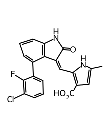 Cc1cc(C(=O)O)c(C=C2C(=O)Nc3cccc(-c4cccc(Cl)c4F)c32)[nH]1